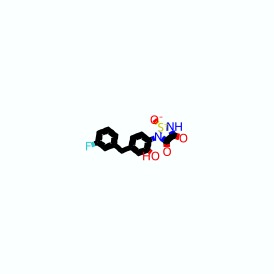 O=c1[nH][s+]([O-])n(-c2ccc(Cc3cccc(F)c3)cc2O)c1=O